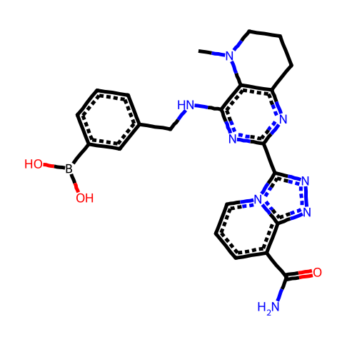 CN1CCCc2nc(-c3nnc4c(C(N)=O)cccn34)nc(NCc3cccc(B(O)O)c3)c21